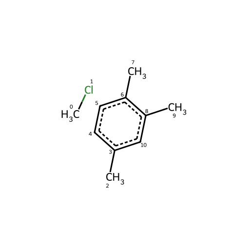 CCl.Cc1ccc(C)c(C)c1